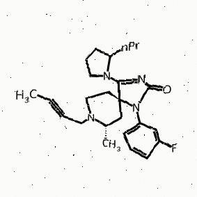 CC#CCN1CC[C@@]2(C[C@@H]1C)C(N1CCCC1CCC)=NC(=O)N2c1cccc(F)c1